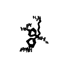 CC(C)Nc1ccc(C(N)(CCCCCN)c2ccc(NC(C)C)cc2)cc1